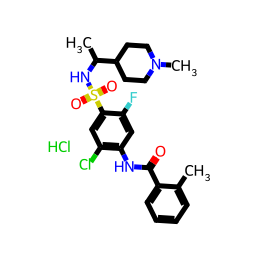 Cc1ccccc1C(=O)Nc1cc(F)c(S(=O)(=O)NC(C)C2CCN(C)CC2)cc1Cl.Cl